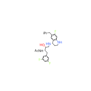 CC(=O)N[C@@H](Cc1cc(F)cc(F)c1)[C@@H](O)CN[C@H]1CCNc2cc(F)c(CC(C)C)cc21